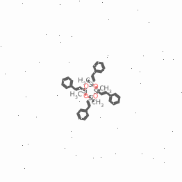 C[Si]1(/C=C/c2ccccc2)O[Si](C)(/C=C/c2ccccc2)O[Si](C)(/C=C/c2ccccc2)O[Si](C)(/C=C/c2ccccc2)O1